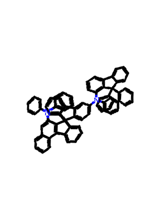 c1ccc(N(c2ccc3c(c2)-c2ccccc2C32c3ccccc3-c3c2c(N(c2ccccc2)c2ccccc2)cc2ccccc32)c2cccc3c2C(c2ccccc2)(c2ccccc2)c2ccccc2-3)cc1